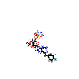 CC1(C)O[C@@H]2[C@H](O1)[C@@H](COS(N)(=O)=O)O[C@H]2n1cnc2c(Cc3ccc(F)cc3)ncnc21